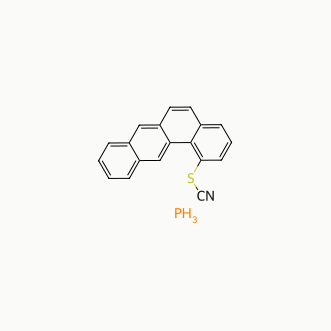 N#CSc1cccc2ccc3cc4ccccc4cc3c12.P